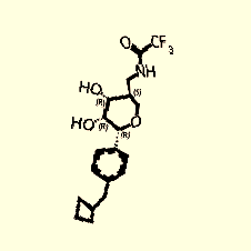 O=C(NC[C@H]1CO[C@H](c2ccc(CC3CCC3)cc2)[C@H](O)[C@@H]1O)C(F)(F)F